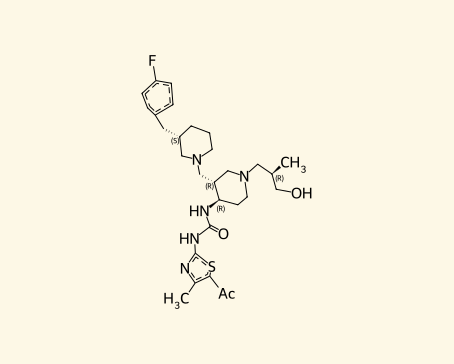 CC(=O)c1sc(NC(=O)N[C@@H]2CCN(C[C@@H](C)CO)C[C@H]2CN2CCC[C@@H](Cc3ccc(F)cc3)C2)nc1C